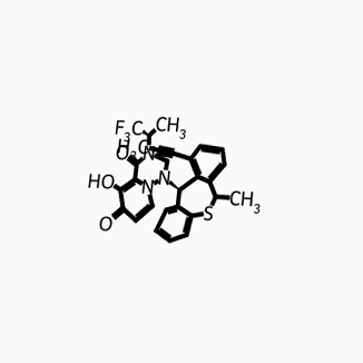 CC#Cc1cccc2c1[C@H](N1CN([C@H](C)C(F)(F)F)C(=O)c3c(O)c(=O)ccn31)c1ccccc1SC2C